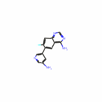 Nc1cncc(-c2cc3c(N)ncnc3cc2F)c1